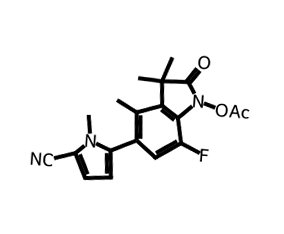 CC(=O)ON1C(=O)C(C)(C)c2c(C)c(-c3ccc(C#N)n3C)cc(F)c21